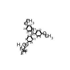 COc1ccc([PH+](c2ccc(OC)cc2)c2ccc(OC)cc2)cc1.F[B-](F)(F)F